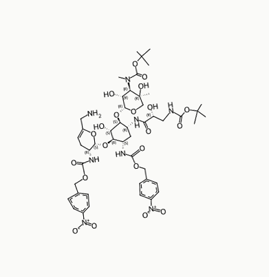 CN(C(=O)OC(C)(C)C)[C@@H]1[C@@H](O)[C@@H](O[C@@H]2[C@@H](O)[C@H](O[C@H]3OC(CN)=CC[C@H]3NC(=O)OCc3ccc([N+](=O)[O-])cc3)[C@@H](NC(=O)OCc3ccc([N+](=O)[O-])cc3)C[C@H]2NC(=O)[C@H](O)CNC(=O)OC(C)(C)C)OC[C@]1(C)O